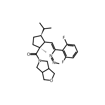 C/N=N\C(=C/C1[C@H](C(C)C)CC[C@]1(C)C(=O)N1CC2COCC2C1)c1c(F)cccc1F